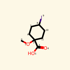 COC1(C(=O)O)CCC(I)CC1